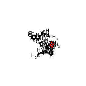 C=CC1C[C@]1(NC(=O)[C@@H]1C[C@@H](Oc2cc(-c3csc(NC(C)C)n3)nc3cc(OC)ccc23)CN1C(=O)[C@@H](NC(=O)NC1(CS(=O)(=O)C(C)(C)C)CCCCC1)C1CCCCC1)C(=O)O